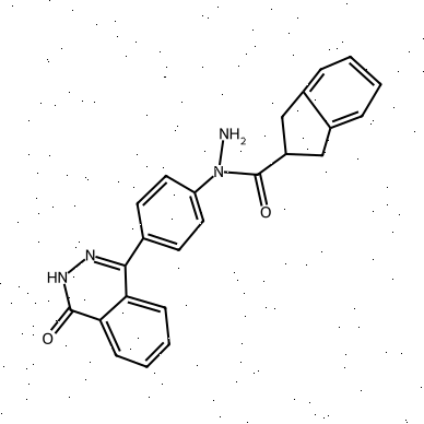 NN(C(=O)C1Cc2ccccc2C1)c1ccc(-c2n[nH]c(=O)c3ccccc23)cc1